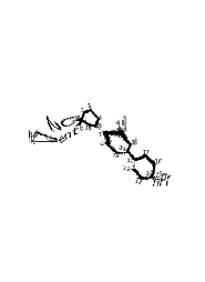 CCCCCC1(C#N)CCCC([C@H]2CC[C@H]([C@H]3CC[C@H](CCC)CC3)CC2)C1